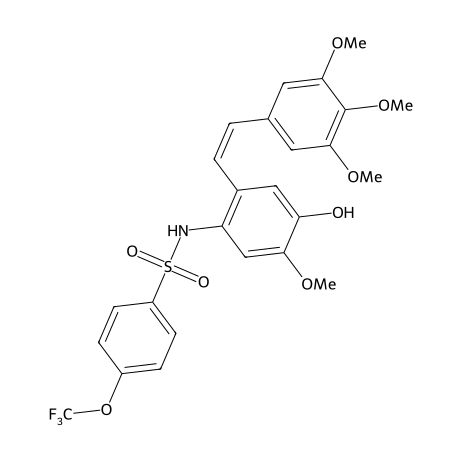 COc1cc(NS(=O)(=O)c2ccc(OC(F)(F)F)cc2)c(/C=C\c2cc(OC)c(OC)c(OC)c2)cc1O